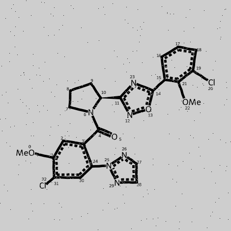 COc1cc(C(=O)N2CCC[C@H]2c2noc(-c3cccc(Cl)c3OC)n2)c(-n2nccn2)cc1Cl